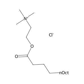 CCCCCCCCCCCC(=O)OCC[N+](C)(C)C.[Cl-]